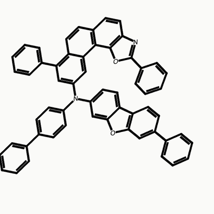 c1ccc(-c2ccc(N(c3ccc4c(c3)oc3cc(-c5ccccc5)ccc34)c3cc(-c4ccccc4)c4ccc5ccc6nc(-c7ccccc7)oc6c5c4c3)cc2)cc1